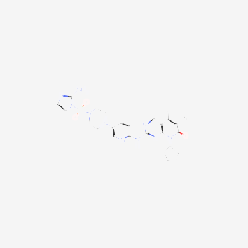 CC(=O)c1c(C)c2cnc(Nc3ccc(N4CCN(S(=O)(=O)n5ccnc5N)CC4)cn3)nc2n(C2CCCC2)c1=O